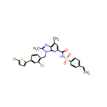 C=Cc1ccc(S(=O)(=O)NC(=O)c2cc(C)c3nc(C)n(Cc4ccc(-c5ccc(Cl)s5)cc4Cl)c3n2)cc1